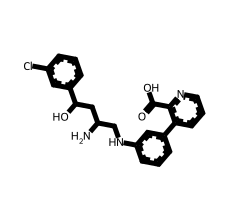 NC(CNc1cccc(-c2cccnc2C(=O)O)c1)CC(O)c1cccc(Cl)c1